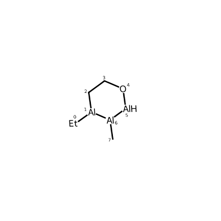 C[CH2][Al]1[CH2]C[O][AlH][Al]1[CH3]